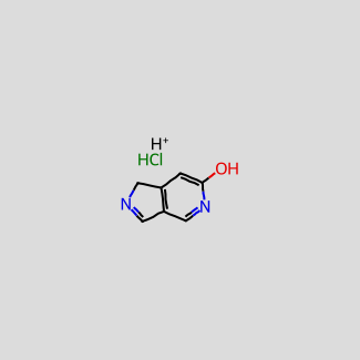 Cl.Oc1cc2c(cn1)C=NC2.[H+]